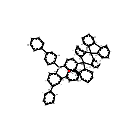 c1ccc(-c2ccc(N(c3ccc4c(c3)-c3ccccc3C43c4ccccc4C4(c5ccccc5-c5ccccc54)c4ccccc43)c3ccc(-c4ccccc4)cc3-c3ccccc3)cc2)cc1